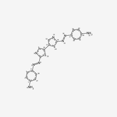 Nc1ccc(/N=N/c2ncc(-c3cnc(/N=N/c4ccc(N)cc4)s3)s2)cc1